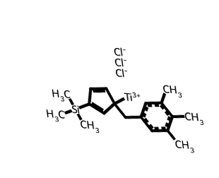 Cc1cc(C[C]2([Ti+3])C=CC([Si](C)(C)C)=C2)cc(C)c1C.[Cl-].[Cl-].[Cl-]